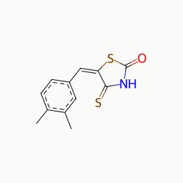 Cc1ccc(C=C2SC(=O)NC2=S)cc1C